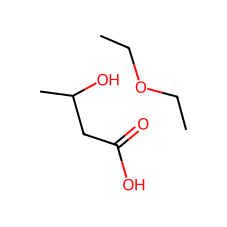 CC(O)CC(=O)O.CCOCC